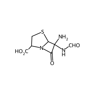 NC1(NC=O)C(=O)N2C(C(=O)O)CSC21